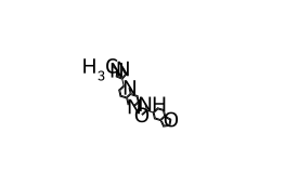 Cn1cc(-c2ccc3cnc(NC(=O)c4ccc5occc5c4)cc3n2)cn1